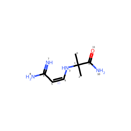 CC(C)(N/C=C\C(=N)N)C(N)=O